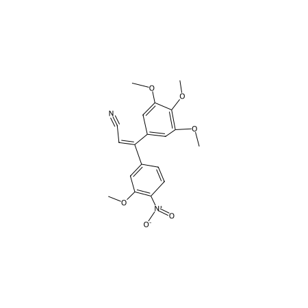 COc1cc(/C(=C/C#N)c2cc(OC)c(OC)c(OC)c2)ccc1[N+](=O)[O-]